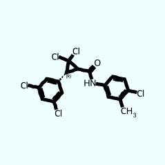 Cc1cc(NC(=O)C2[C@H](c3cc(Cl)cc(Cl)c3)C2(Cl)Cl)ccc1Cl